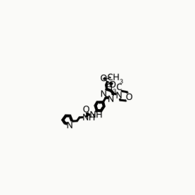 C[C@H]1COCCN1c1cc(CS(C)(=O)=O)nc(-c2ccc(NC(=O)NCCc3ccccn3)cc2)n1